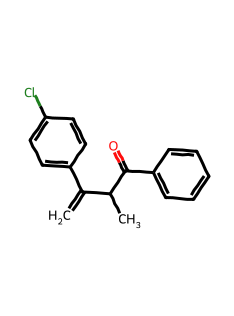 C=C(c1ccc(Cl)cc1)C(C)C(=O)c1ccccc1